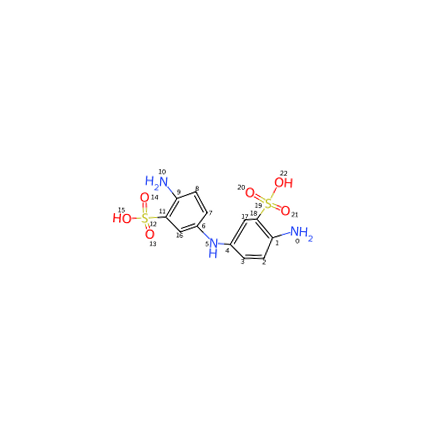 Nc1ccc(Nc2ccc(N)c(S(=O)(=O)O)c2)cc1S(=O)(=O)O